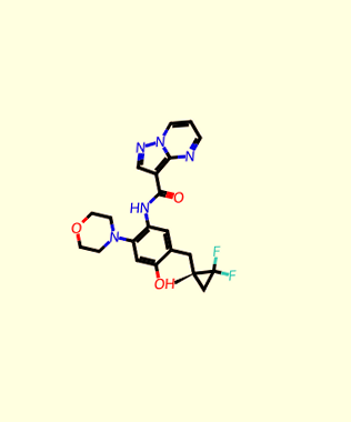 C[C@]1(Cc2cc(NC(=O)c3cnn4cccnc34)c(N3CCOCC3)cc2O)CC1(F)F